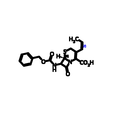 C/C=C\C1=C(C(=O)O)N2C(=O)C(NC(=O)OCc3ccccc3)[C@H]2SC1